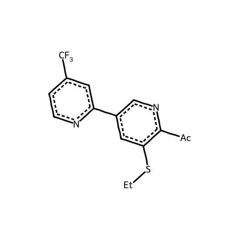 CCSc1cc(-c2cc(C(F)(F)F)ccn2)cnc1C(C)=O